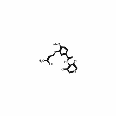 COc1ccc(C(=O)Nc2c(Cl)cncc2Cl)cc1OCC=C(C)C